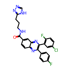 O=C(NCCCc1nnc[nH]1)c1ccc2nc(-c3ccc(F)cc3)c(-c3cc(Cl)ccc3F)nc2c1